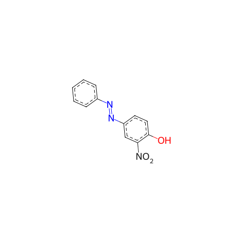 O=[N+]([O-])c1cc(N=Nc2ccccc2)ccc1O